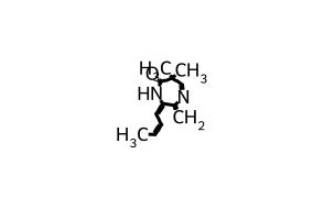 C=C1N=CC(C)(C)C(=O)N/C1=C/C=C\C